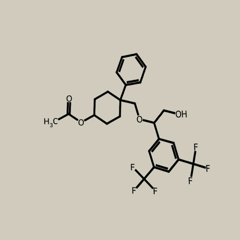 CC(=O)OC1CCC(COC(CO)c2cc(C(F)(F)F)cc(C(F)(F)F)c2)(c2ccccc2)CC1